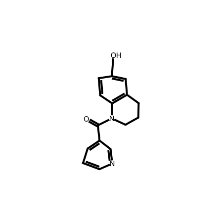 O=C(c1cccnc1)N1CCCc2cc(O)ccc21